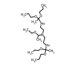 CCCOC(C)(OCCC)PCCN(CCPC(C)(OCCC)OCCC)C(C)OCC